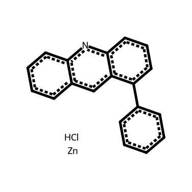 Cl.[Zn].c1ccc(-c2cccc3nc4ccccc4cc23)cc1